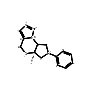 c1ccc(N2CC3[C@@H](C2)OCc2cnnn23)cc1